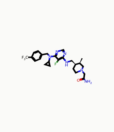 C[C@H]1CN(CC(N)=O)CC[C@H]1CNc1ncnc(N(Cc2ccc(C(F)(F)F)cc2)C2CC2)c1F